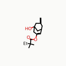 C=C1CC2C=C(OC(=O)C(C)(C)CC)CC(O)(C1)C2